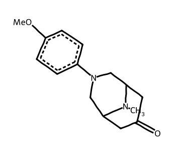 COc1ccc(N2CC3CC(=O)CC(C2)N3C)cc1